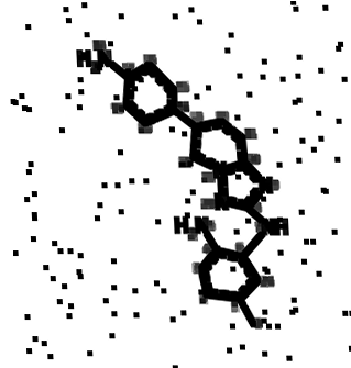 Cc1ccc(N)c(Nc2nc3ccc(-c4ccc(N)cc4)cn3n2)c1